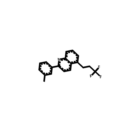 Cc1cccc(-c2ccc3c(CCC(F)(F)F)cccc3n2)c1